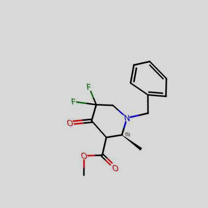 COC(=O)C1C(=O)C(F)(F)CN(Cc2ccccc2)[C@H]1C